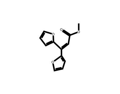 COC(=O)C=C(c1ccco1)c1ccco1